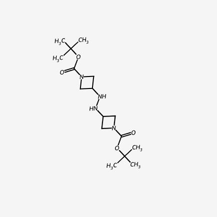 CC(C)(C)OC(=O)N1CC(NNC2CN(C(=O)OC(C)(C)C)C2)C1